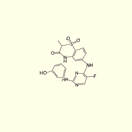 CC1C(=O)Nc2cc(Nc3nc(Nc4cccc(O)c4)ncc3F)ccc2S1(=O)=O